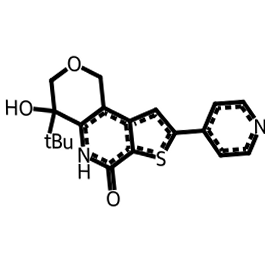 CC(C)(C)C1(O)COCc2c1[nH]c(=O)c1sc(-c3ccncc3)cc21